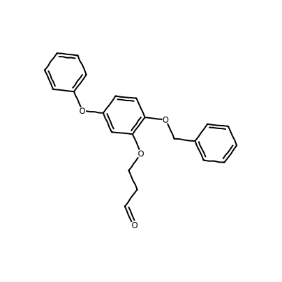 O=CCCOc1cc(Oc2ccccc2)ccc1OCc1ccccc1